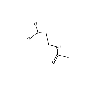 CC(=O)NCCN(Cl)Cl